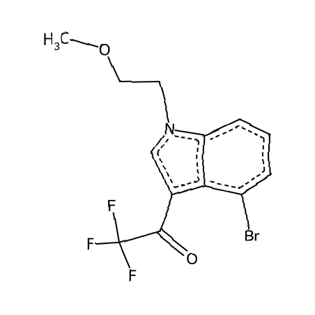 COCCn1cc(C(=O)C(F)(F)F)c2c(Br)cccc21